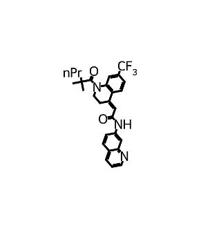 CCCC(C)(C)C(=O)N1CC/C(=C\C(=O)Nc2ccc3cccnc3c2)c2ccc(C(F)(F)F)cc21